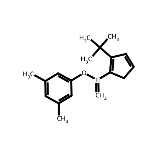 [CH2]=[Ti]([O]c1cc(C)cc(C)c1)[C]1=C(C(C)(C)C)C=CC1